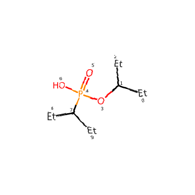 CCC(CC)OP(=O)(O)C(CC)CC